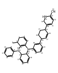 CC1CC=CC2=C1[SiH](c1ccccc1)C1C=CC=CC1N2c1cccc(C2C=CC(C3=CC=C(C#N)NC3)CC2)c1